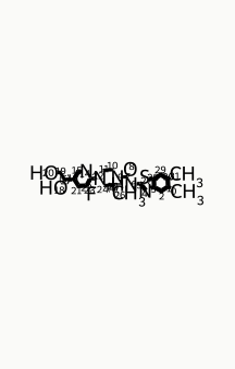 Cc1cc2nc(NC(=O)N3CCN(c4ncc([C@H](O)CO)cc4F)C[C@H]3C)sc2cc1C